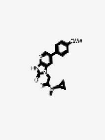 COc1ccc(-c2cnc3[nH]c(=O)n(CC(=O)N(C)C4CC4)c3c2)cc1